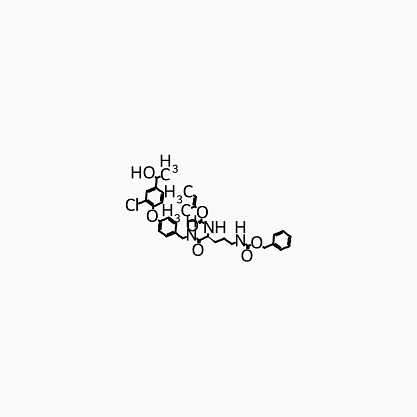 C/C=C(\C)OC(=O)N[C@@H](CCCNC(=O)OCc1ccccc1)C(=O)NCc1ccc(Oc2ccc(C(C)O)cc2Cl)cc1